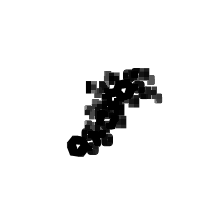 [2H]c1c(OC)c(OC)c([2H])c2c(N)nc(N3C([2H])([2H])CN(C(=O)C4([2H])COc5ccccc5O4)CC3([2H])[2H])nc12